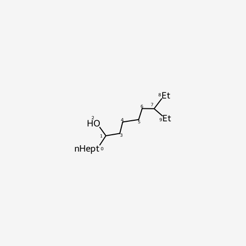 CCCCCCCC(O)CCCCC(CC)CC